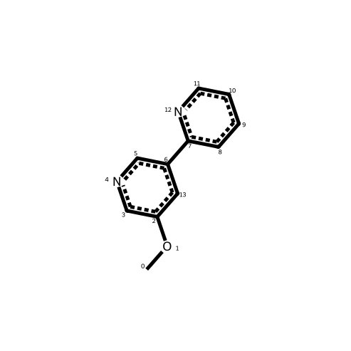 COc1cncc(-c2ccccn2)c1